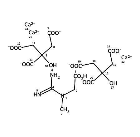 CN(CC(=O)O)C(=N)N.O=C([O-])CC(O)(CC(=O)[O-])C(=O)[O-].O=C([O-])CC(O)(CC(=O)[O-])C(=O)[O-].[Ca+2].[Ca+2].[Ca+2]